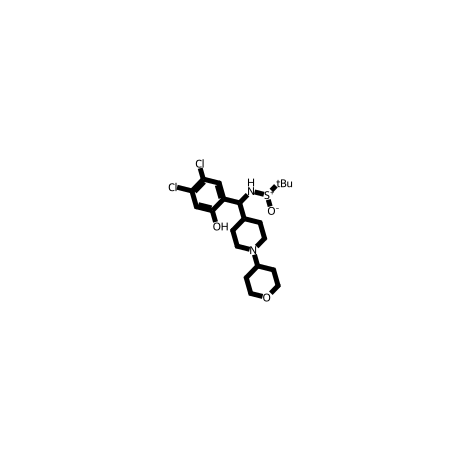 CC(C)(C)[S+]([O-])NC(c1cc(Cl)c(Cl)cc1O)C1CCN(C2CCOCC2)CC1